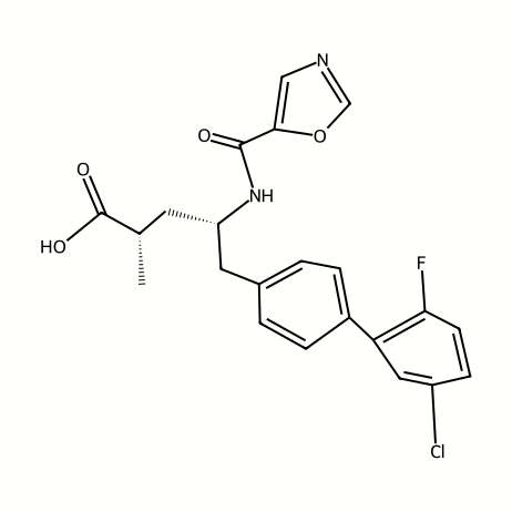 C[C@@H](C[C@@H](Cc1ccc(-c2cc(Cl)ccc2F)cc1)NC(=O)c1cnco1)C(=O)O